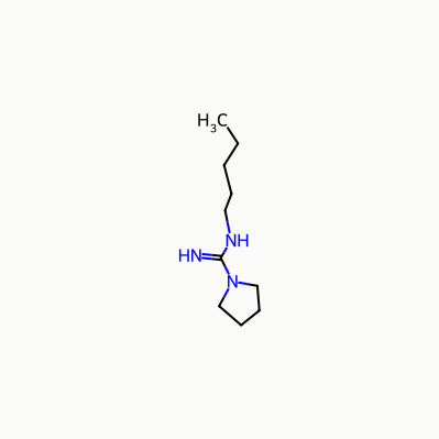 CCCCCNC(=N)N1CCCC1